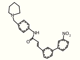 O=C(/C=C/c1cccc(-c2cccc([N+](=O)[O-])c2)c1)Nc1ccc(CN2CCCCC2)cc1